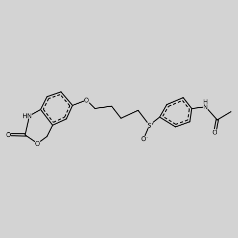 CC(=O)Nc1ccc([S+]([O-])CCCCOc2ccc3c(c2)COC(=O)N3)cc1